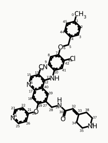 Cc1ccc(COc2ccc(Nc3c(C#N)cnc4cc(Oc5ccncc5)c(CNC(=O)C=C5CCNCC5)cc34)cc2Cl)cc1